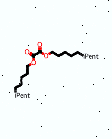 CCCC(C)CCCCCOC(=O)C(=O)OCCCCCC(C)CCC